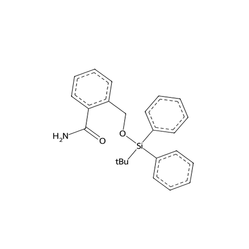 CC(C)(C)[Si](OCc1ccccc1C(N)=O)(c1ccccc1)c1ccccc1